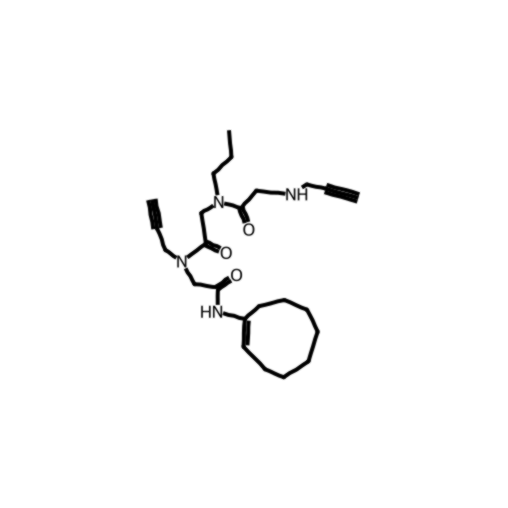 C#CCNCC(=O)N(CCC)CC(=O)N(CC#C)CC(=O)N/C1=C/CCCCCCC1